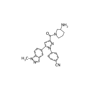 Cn1ncc2cc(-c3cc(C(=O)N4CCCC(N)C4)nn3-c3ccc(C#N)cc3)ccc21